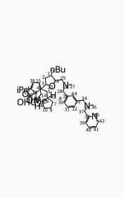 CCCCC1CC(C23C[C@@H]4[C@H](C)CC[C@H]4C4(C=O)CC2C=C(C(C)C)C34C(=O)OC)OC1CN(C)Cc1cccc(CN(C)Cc2ccccn2)c1